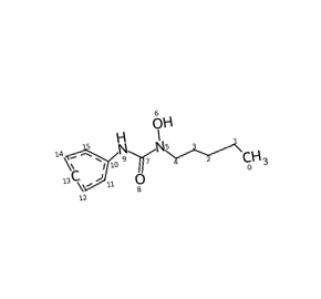 CCCCCN(O)C(=O)Nc1ccccc1